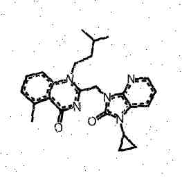 Cc1cccc2c1c(=O)nc(Cn1c(=O)n(C3CC3)c3cccnc31)n2CCC(C)C